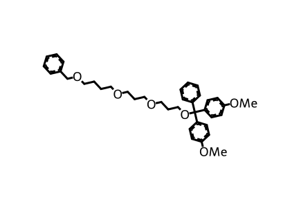 COc1ccc(C(OCCCOCCCOCCCCOCc2ccccc2)(c2ccccc2)c2ccc(OC)cc2)cc1